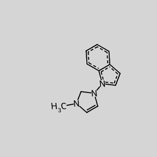 CN1C=CN(n2ccc3ccccc32)C1